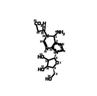 NC1c2ncn([C@@H]3O[C@H](CO)C(O)C3O)c2N=CN1NCC(=O)O